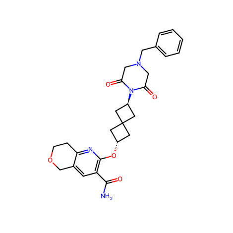 NC(=O)c1cc2c(nc1O[C@H]1CC3(C1)C[C@H](N1C(=O)CN(Cc4ccccc4)CC1=O)C3)CCOC2